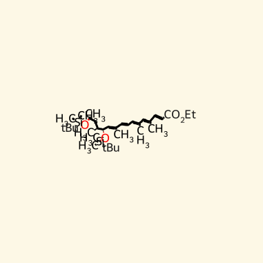 CCOC(=O)/C=C/C(C)=C/C(C)=C/C=C/C(C)=C/[C@H](O[Si](C)(C)C(C)(C)C)[C@@H](C)C[C@H](C)O[Si](C)(C)C(C)(C)C